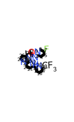 O=C(Nc1ccc(F)cn1)N1c2nc(-c3cccc(C(F)(F)F)n3)ccc2N2CC[C@H]1C2